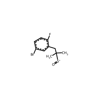 CC(C)(Cc1cc(Br)ccc1F)[S+]=O